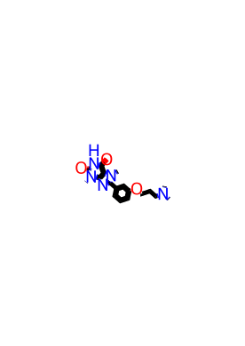 CN(C)CCCOc1cccc(-c2nc3c(c(=O)[nH]c(=O)n3C)n2C)c1